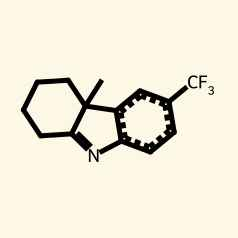 CC12CCCCC1=Nc1ccc(C(F)(F)F)cc12